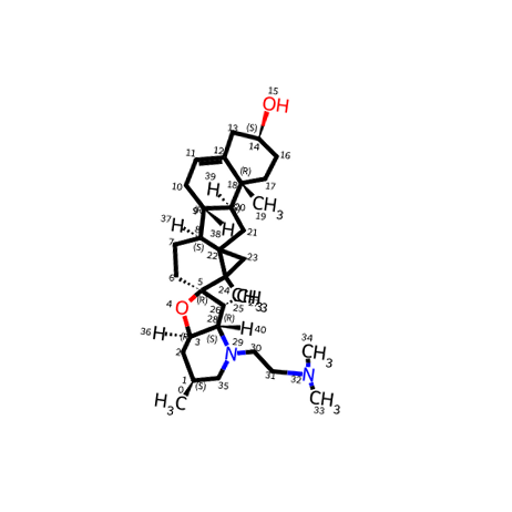 C[C@H]1C[C@H]2O[C@]3(CC[C@H]4[C@@H]5CC=C6C[C@@H](O)CC[C@]6(C)[C@H]5CC45CC53C)[C@H](C)[C@@H]2N(CCN(C)C)C1